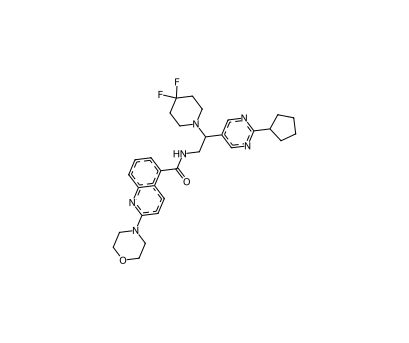 O=C(NCC(c1cnc(C2CCCC2)nc1)N1CCC(F)(F)CC1)c1cccc2nc(N3CCOCC3)ccc12